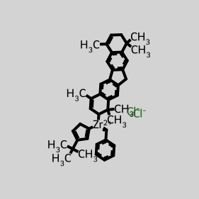 CC1=CCC(C)(C)c2cc3c(cc21)-c1cc2c(cc1C3)C(C)(C)[CH]([Zr+2](=[CH]c1ccccc1)[C]1=CC(C(C)(C)C)=CC1)C=C2C.[Cl-].[Cl-]